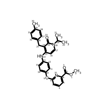 COC(=O)c1cccc(Oc2ccc(Nc3ccn(C(C)C)c(=O)c3Cc3ccc(C)cc3)cc2)n1